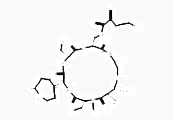 C=C(CCN)C(=O)NC[C@@H]1NC(=O)[C@H](CN)NC(=O)[C@H](C2CCCCCC2)NC(=O)[C@H](CC(C)C)N(C)C(=O)[C@H](C)[C@@H](CCCCCC)OC[C@@H](C)NC1=O